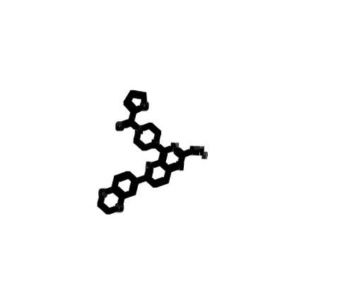 Nc1nc(N2CCN(C(=O)c3ccco3)CC2)c2nc(-c3ccc4c(c3)OCCO4)ccc2n1